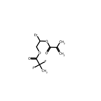 C=C(C)C(=O)OC(CC)COC(=O)C(C)(F)F